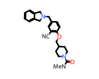 CNC(=O)N1CCC(COc2ccc(CN3Cc4ccccc4C3)cc2C#N)CC1